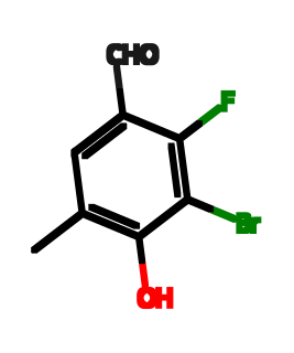 Cc1cc(C=O)c(F)c(Br)c1O